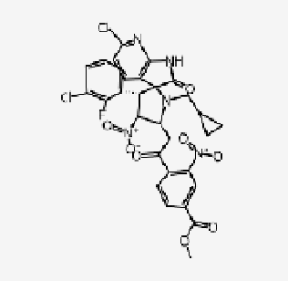 COC(=O)c1ccc(C(=O)C[C@H]2[C@@H]([N+](=O)[O-])[C@H](c3cccc(Cl)c3F)[C@]3(C(=O)Nc4nc(Cl)ccc43)N2CC2CC2)c([N+](=O)[O-])c1